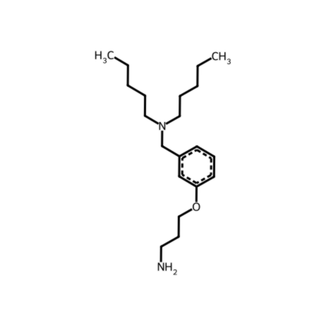 CCCCCN(CCCCC)Cc1cccc(OCCCN)c1